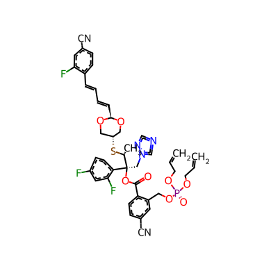 C=CCOP(=O)(OCC=C)OCc1cc(C#N)ccc1C(=O)O[C@@](Cn1cncn1)(c1ccc(F)cc1F)[C@@H](C)S[C@H]1CO[C@H](/C=C/C=C/c2ccc(C#N)cc2F)OC1